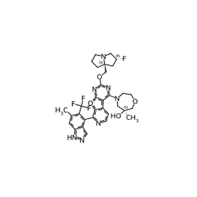 Cc1cc2[nH]ncc2c(-c2nccc3c2oc2nc(OC[C@@]45CCCN4C[C@H](F)C5)nc(N4CCOC[C@@](C)(O)C4)c23)c1C(F)(F)F